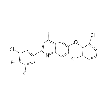 Cc1cc(-c2cc(Cl)c(F)c(Cl)c2)nc2ccc(Oc3c(Cl)cccc3Cl)cc12